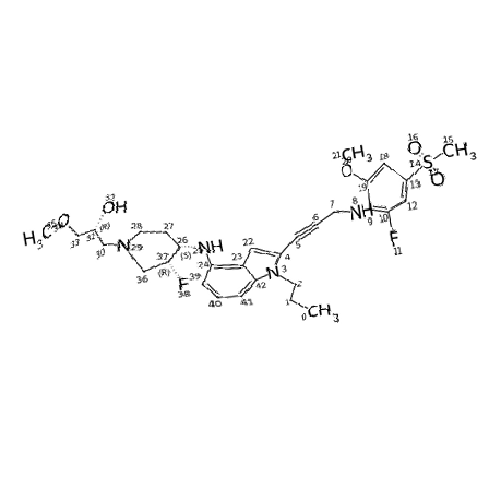 CCCn1c(C#CCNc2c(F)cc(S(C)(=O)=O)cc2OC)cc2c(N[C@H]3CCN(C[C@@H](O)COC)C[C@H]3F)cccc21